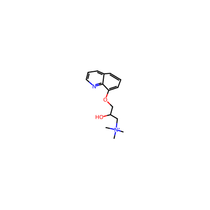 C[N+](C)(C)CC(O)COc1cccc2cccnc12